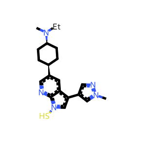 CCN(C)[C@H]1CC[C@@H](c2cnc3c(c2)c(-c2cnn(C)c2)cn3S)CC1